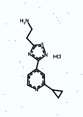 Cl.NCCc1nc(-c2ccnc(C3CC3)c2)ns1